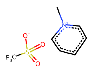 C[n+]1ccccc1.O=S(=O)([O-])C(F)(F)F